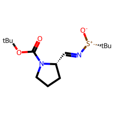 CC(C)(C)OC(=O)N1CCC[C@H]1C=N[S@+]([O-])C(C)(C)C